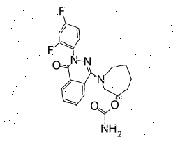 NC(=O)O[C@H]1CCCCN(c2nn(-c3ccc(F)cc3F)c(=O)c3ccccc23)C1